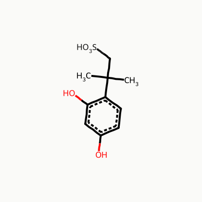 CC(C)(CS(=O)(=O)O)c1ccc(O)cc1O